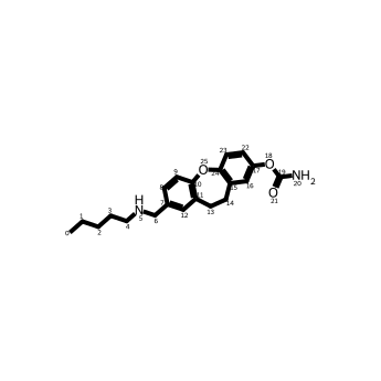 CCCCCNCc1ccc2c(c1)CCc1cc(OC(N)=O)ccc1O2